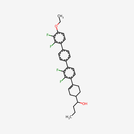 CCCC(O)C1CC=C(c2ccc(-c3ccc(-c4ccc(OCC)c(F)c4F)cc3)c(F)c2F)CC1